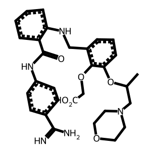 CC(CN1CCOCC1)Oc1cccc(CNc2ccccc2C(=O)Nc2ccc(C(=N)N)cc2)c1OCC(=O)O